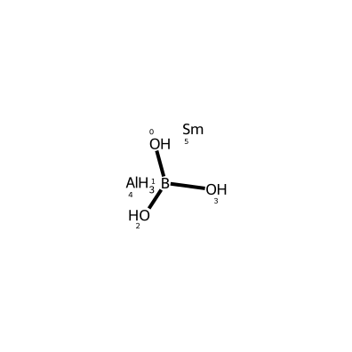 OB(O)O.[AlH3].[Sm]